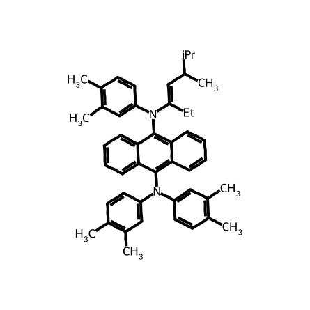 CC/C(=C\C(C)C(C)C)N(c1ccc(C)c(C)c1)c1c2ccccc2c(N(c2ccc(C)c(C)c2)c2ccc(C)c(C)c2)c2ccccc12